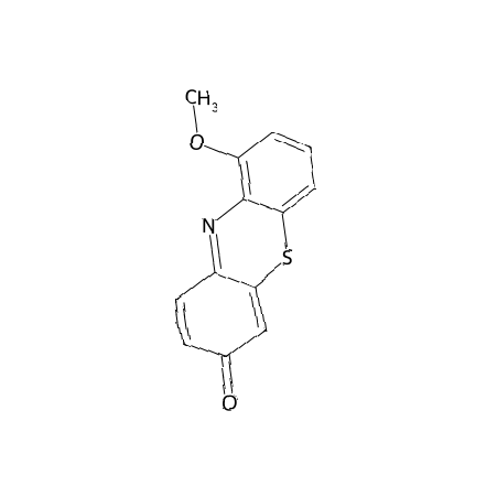 COc1cccc2sc3cc(=O)ccc-3nc12